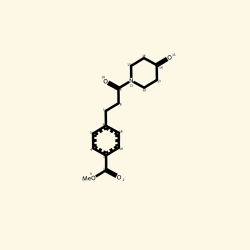 COC(=O)c1ccc(CCC(=O)N2CCC(=O)CC2)cc1